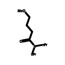 CCCN(CCC)C(=O)CCCOC